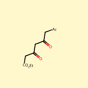 CCOC(=O)CC(=O)CC(=O)CC(C)=O